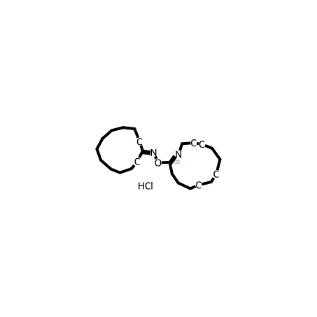 C1CCCCCC(=NO/C2=N\CCCCCCCCCCC2)CCCCC1.Cl